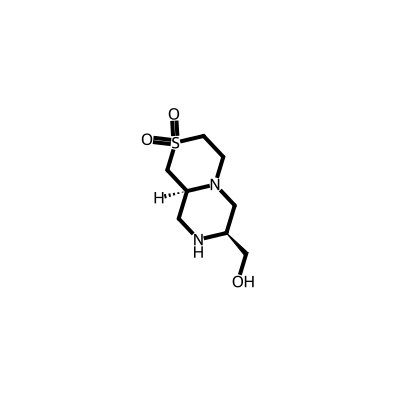 O=S1(=O)CCN2C[C@@H](CO)NC[C@H]2C1